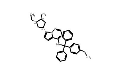 CC[C@H]1O[C@@H](c2ccc3c(NC(c4ccccc4)(c4ccccc4)c4ccc(OC)cc4)ncnn23)C[C@@H]1C